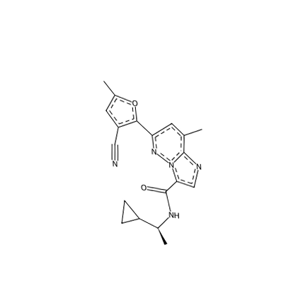 Cc1cc(C#N)c(-c2cc(C)c3ncc(C(=O)N[C@@H](C)C4CC4)n3n2)o1